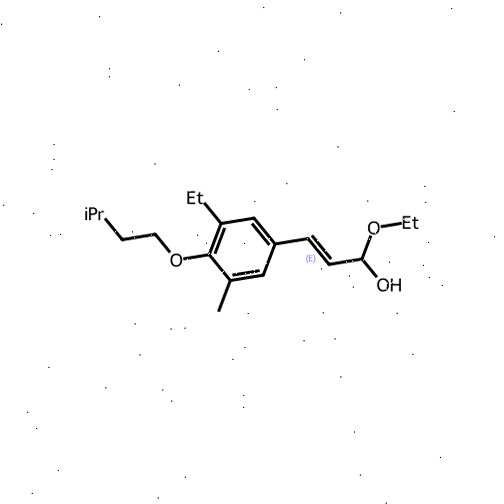 CCOC(O)/C=C/c1cc(C)c(OCCC(C)C)c(CC)c1